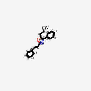 N#CCCc1oc(C=Cc2ccccc2)nc1-c1ccccc1